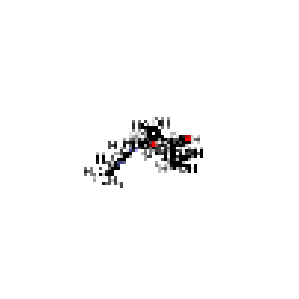 CNC1C(OC2C(OCC3(NC(=N)N)CC(O)C(O)C(NC(=N)N/C=C(\C)CC/C=C(\C)CCC=C(C)C)C3O)OC(CO)C2(O)C=O)OC(CO)C(O)C1O